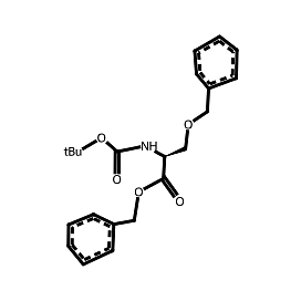 CC(C)(C)OC(=O)N[C@@H](COCc1ccccc1)C(=O)OCc1ccccc1